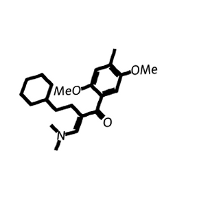 COc1cc(C(=O)C(=CN(C)C)CCC2CCCCC2)c(OC)cc1C